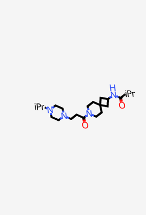 CC(C)C(=O)NC1CC2(CCN(C(=O)CCN3CCN(C(C)C)CC3)CC2)C1